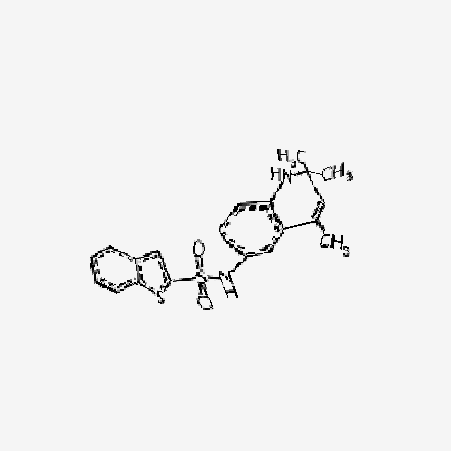 CC1=CC(C)(C)Nc2ccc(NS(=O)(=O)c3cc4ccccc4s3)cc21